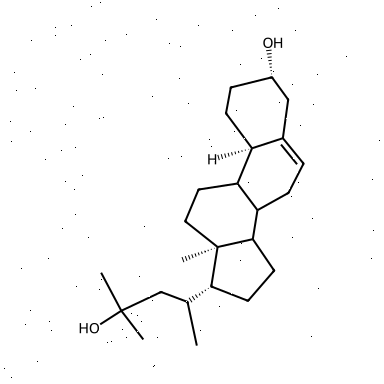 CC(CC(C)(C)O)[C@H]1CCC2C3CC=C4C[C@@H](O)CC[C@@H]4C3CC[C@@]21C